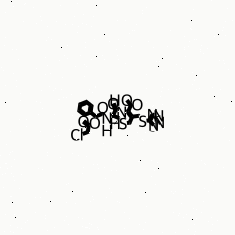 Cn1nnnc1SCC1=C(C(=O)O)N2C(=O)C(NC(=O)C(OC(=O)CCl)c3ccccc3)[C@@H]2SC1